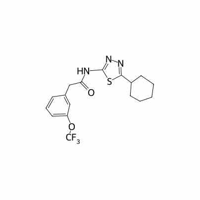 O=C(Cc1cccc(OC(F)(F)F)c1)Nc1nnc(C2CCCCC2)s1